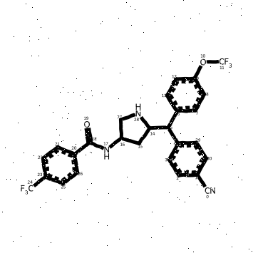 N#Cc1ccc(C(c2ccc(OC(F)(F)F)cc2)C2CC(NC(=O)c3ccc(C(F)(F)F)cc3)CN2)cc1